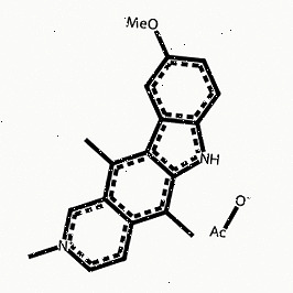 CC(=O)[O-].COc1ccc2[nH]c3c(C)c4cc[n+](C)cc4c(C)c3c2c1